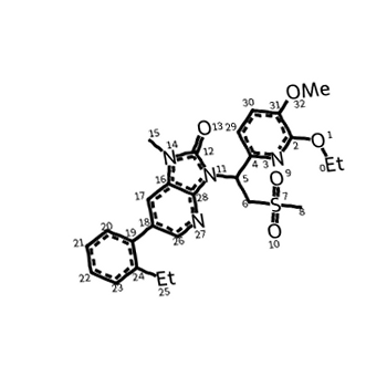 CCOc1nc(C(CS(C)(=O)=O)n2c(=O)n(C)c3cc(-c4ccccc4CC)cnc32)ccc1OC